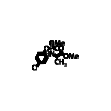 COC(=O)[C@H](C)N[P@@](=O)(OC)Oc1ccc(Cl)cc1